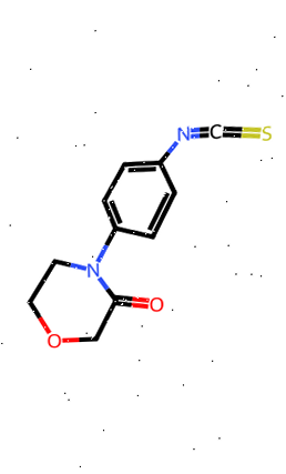 O=C1COCCN1c1ccc(N=C=S)cc1